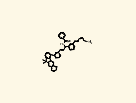 CC1(C)c2cc3ccccc3cc2-c2c(-c3cccc(/C=C/C(NC(N)c4ccccc4)c4cccc(/C=C/C=C\CN)c4)c3)cccc21